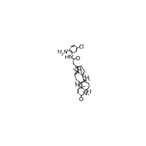 CN1C(=O)C=C[C@]2(C)[C@H]3CC[C@]4(C)[C@@H](CC(=O)Nc5cc(Cl)ccc5N)CC[C@H]4[C@@H]3CC[C@@H]12